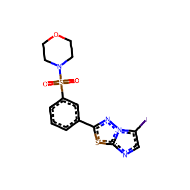 O=S(=O)(c1cccc(-c2nn3c(I)cnc3s2)c1)N1CCOCC1